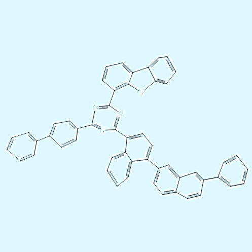 c1ccc(-c2ccc(-c3nc(-c4ccc(-c5ccc6ccc(-c7ccccc7)cc6c5)c5ccccc45)nc(-c4cccc5c4sc4ccccc45)n3)cc2)cc1